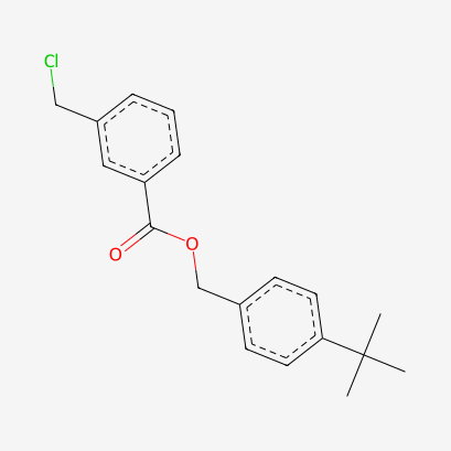 CC(C)(C)c1ccc(COC(=O)c2cccc(CCl)c2)cc1